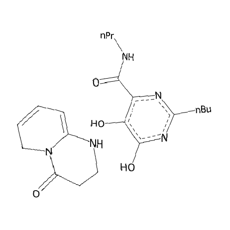 CCCCc1nc(O)c(O)c(C(=O)NCCC)n1.O=C1CCNC2=CC=CCN12